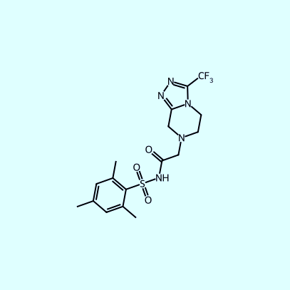 Cc1cc(C)c(S(=O)(=O)NC(=O)CN2CCn3c(nnc3C(F)(F)F)C2)c(C)c1